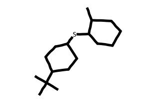 CC1CCCCC1SC1CCC(C(C)(C)C)CC1